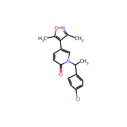 Cc1noc(C)c1-c1ccc(=O)n(C(C)c2ccc(Cl)cc2)c1